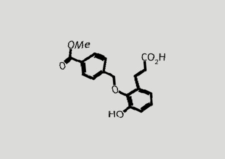 COC(=O)c1ccc(COc2c(O)cccc2CCC(=O)O)cc1